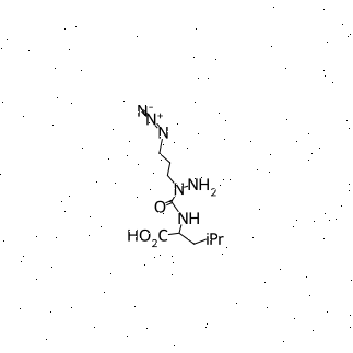 CC(C)CC(NC(=O)N(N)CCCN=[N+]=[N-])C(=O)O